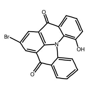 O=c1c2ccccc2n2c3c(O)cccc3c(=O)c3cc(Br)cc1c32